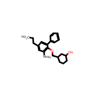 CC(=O)Nc1cc(CCC(=O)O)cc(-c2ccccc2)c1OCC1CCCC(O)C1